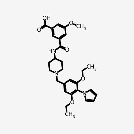 CCOc1cc(CN2CCC(NC(=O)c3cc(OC)cc(C(=O)O)c3)CC2)cc(OCC)c1-n1cccc1